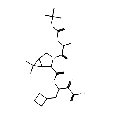 CC(C)(C)C(NC(=O)NC(C)(C)C(F)(F)F)C(=O)N1CC2C(C1C(=O)NC(CC1CCC1)C(=O)C(N)=O)C2(C)C